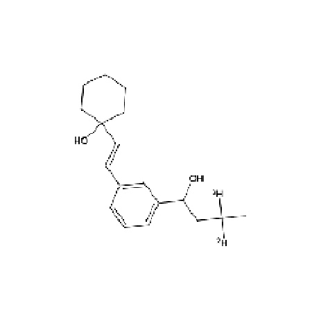 [2H]C([2H])(C)CC(O)c1cccc(/C=C/C2(O)CCCCC2)c1